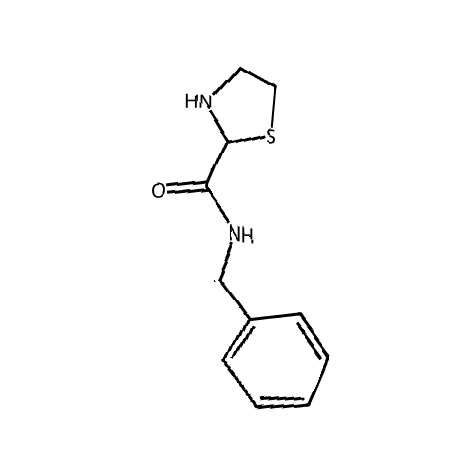 O=C(N[CH]c1ccccc1)C1NCCS1